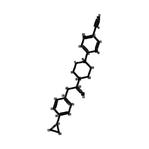 N#Cc1cnc(N2CCN(C(=O)Cc3ccc(C4CC4)cc3)CC2)cn1